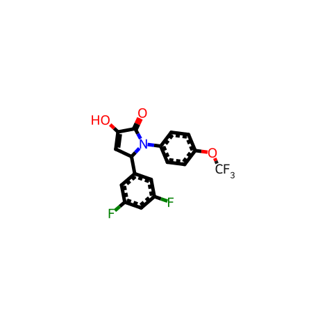 O=C1C(O)=CC(c2cc(F)cc(F)c2)N1c1ccc(OC(F)(F)F)cc1